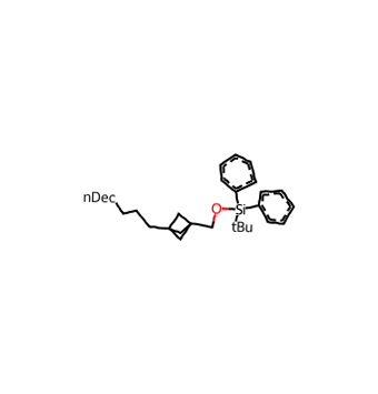 CCCCCCCCCCCCCC12CC(CO[Si](c3ccccc3)(c3ccccc3)C(C)(C)C)(C1)C2